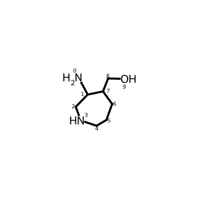 NC1CNCCCC1CO